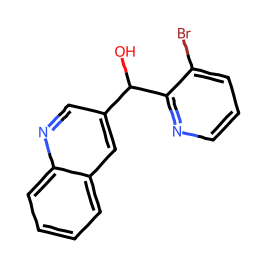 OC(c1cnc2ccccc2c1)c1ncccc1Br